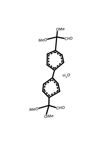 COC(C=O)(OC)c1ccc(-c2ccc(C(C=O)(OC)OC)cc2)cc1.O